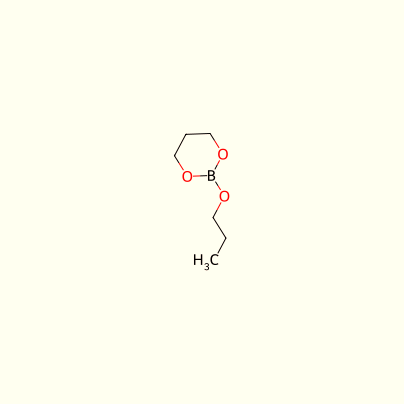 CCCOB1OCCCO1